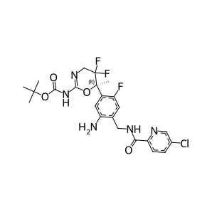 CC(C)(C)OC(=O)NC1=NCC(F)(F)[C@@](C)(c2cc(N)c(CNC(=O)c3ccc(Cl)cn3)cc2F)O1